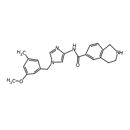 COc1cc(C)cc(Cn2cnc(NC(=O)c3ccc4c(c3)CCNC4)c2)c1